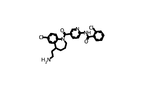 NCCC1CCCN(C(=O)c2ccc(NC(=O)c3ccccc3Cl)nc2)c2ccc(Cl)cc21